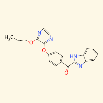 CCCOc1nccnc1Oc1ccc(C(=O)c2nc3ccccc3[nH]2)cc1